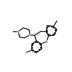 Cc1ccc2c(c1)CC(N1CCN(C)CC1)c1cc(F)ccc1S2